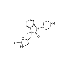 CC1(CC2CNC(=O)O2)C(=O)N(C2CCNCC2)c2ccccc21